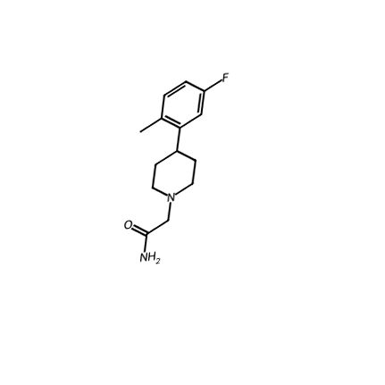 Cc1ccc(F)cc1C1CCN(CC(N)=O)CC1